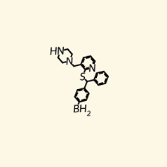 Bc1ccc(C(Sc2ncccc2CN2CCNCC2)c2ccccc2)cc1